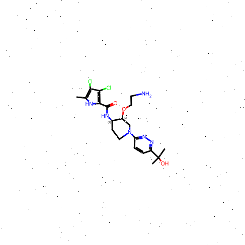 Cc1[nH]c(C(=O)N[C@@H]2CCN(c3ccc(C(C)(C)O)nn3)C[C@@H]2OCCN)c(Cl)c1Cl